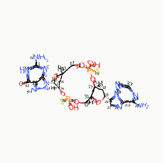 Nc1nc2c(nnn2[C@@H]2O[C@@H]3COP(O)(=S)O[C@H]4C[C@H](c5cnc6c(N)ncnn56)O[C@@H]4COP(O)(=S)O[C@@H]2[C@H]3F)c(=O)[nH]1